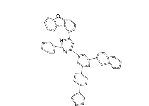 c1ccc(-c2nc(-c3cc(-c4ccc(-c5ccncc5)cc4)cc(-c4ccc5ccccc5c4)c3)cc(-c3cccc4oc5ccccc5c34)n2)cc1